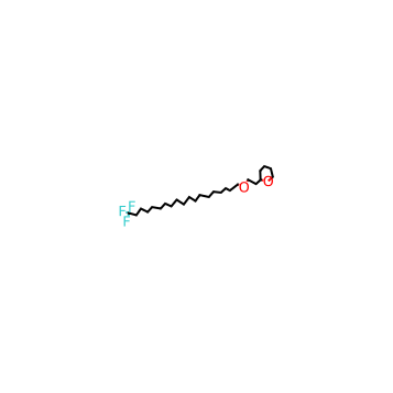 FC(F)(F)CCCCCCCCCCCCCCCCCCOCCC1CCCCO1